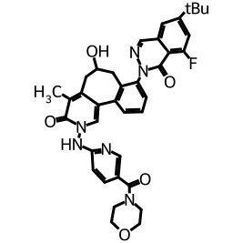 Cc1c2c(cn(Nc3ccc(C(=O)N4CCOCC4)cn3)c1=O)-c1cccc(-n3ncc4cc(C(C)(C)C)cc(F)c4c3=O)c1CC(O)C2